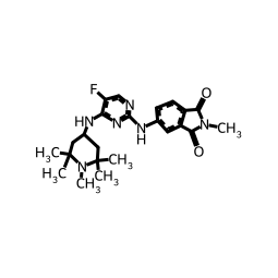 CN1C(=O)c2ccc(Nc3ncc(F)c(NC4CC(C)(C)N(C)C(C)(C)C4)n3)cc2C1=O